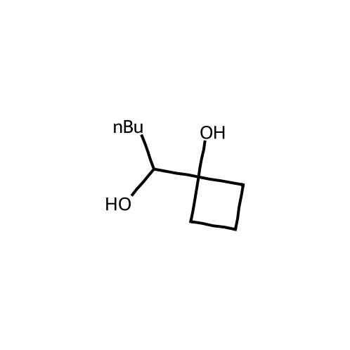 CCCCC(O)C1(O)CCC1